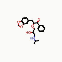 CC(C)NCC(O)COC(Cc1ccc2c(c1)OCO2)C(=O)c1ccccc1